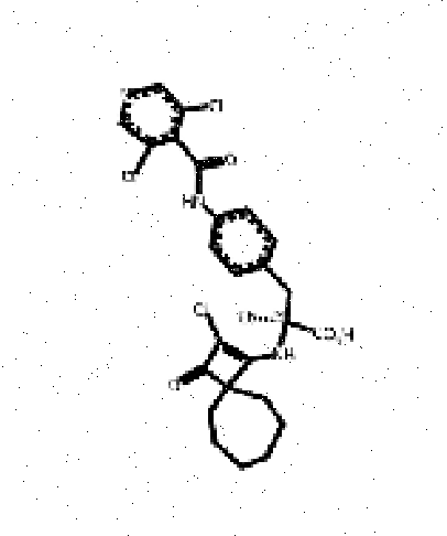 CC[C@@](Cc1ccc(NC(=O)c2c(Cl)cncc2Cl)cc1)(NC1=C(Cl)C(=O)C12CCCCCC2)C(=O)O